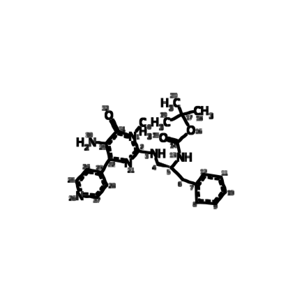 Cn1c(NC[C@H](Cc2ccccc2)NC(=O)OC(C)(C)C)nc(-c2ccncc2)c(N)c1=O